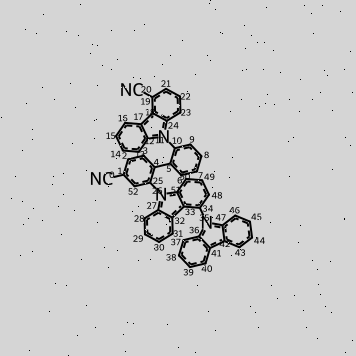 N#Cc1ccc(-c2ccccc2-n2c3ccccc3c3c(C#N)cccc32)c(-n2c3ccccc3c3c(-n4c5ccccc5c5ccccc54)cccc32)c1